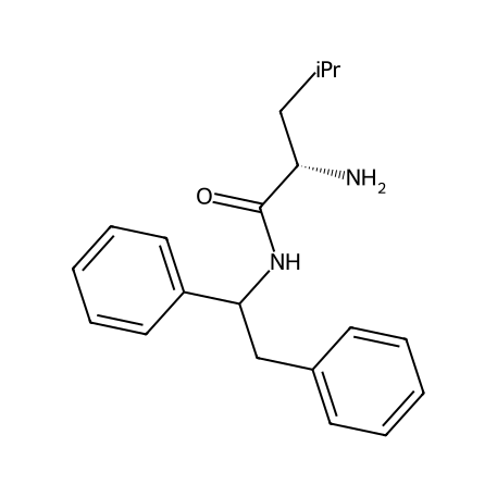 CC(C)C[C@H](N)C(=O)NC(Cc1ccccc1)c1ccccc1